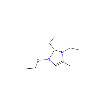 CCON1C=C(C)N(CC)C1CC